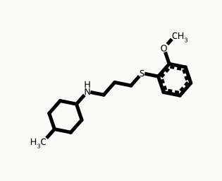 COc1ccccc1SCCCNC1CCC(C)CC1